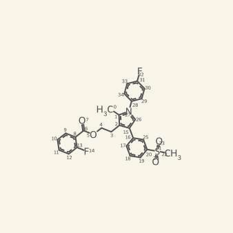 Cc1c(CCOC(=O)c2ccccc2F)c(-c2cccc(S(C)(=O)=O)c2)cn1-c1ccc(F)cc1